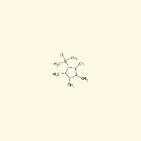 CC1C(C)C(C)C([Si](C)(C)Cl)C1C